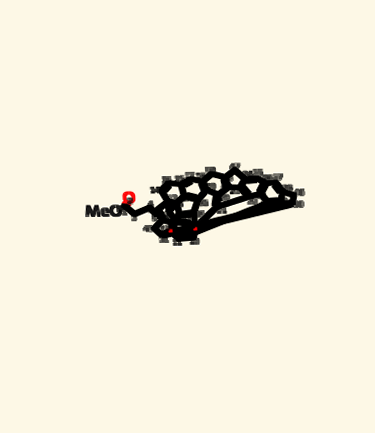 COC(=O)CCC[C@]1(c2ccccc2)C23C=Cc4cc5c6c7c8c9c%10c(cc%11cc%12c%13c(c%14c%15c(c%16c(c6c4C%1621)c8c%15c%13c%119)C(=C3)C%14)C%12)CC(=C%107)C5